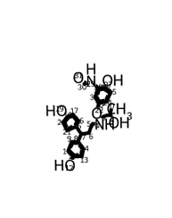 CC(O)C(NCCC(c1ccc(O)cc1)c1ccc(O)cc1)Oc1ccc(O)c(NC=O)c1